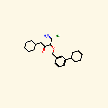 Cl.NC[C@@H](OCc1cccc(C2CCCCC2)c1)C(=O)CC1CCCCC1